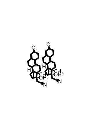 C[C@]12CCC3=C4CCC(=O)C=C4CC[C@H]3[C@@H]1CC[C@@]2(O)CC#N.C[C@]12CCC3=C4CCC(=O)C=C4CC[C@H]3[C@@H]1CC[C@@]2(O)CC#N